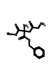 CC(C)(C)OC(=O)C(N)(CC(=O)C[N+](=O)[O-])C(=O)OCc1ccccc1